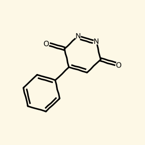 O=C1C=C(c2ccccc2)C(=O)N=N1